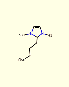 CCCCCCCCCCCCC1N(CC)C=CN1CCCC